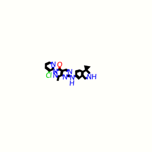 Cc1nn(-c2ncccc2Cl)c(=O)c2cnc(Nc3ccc4c(c3)CNCC43CC3)nc12